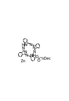 CCCCCCCCCCCC(=O)Oc1cccc2c3nc4nc(nc5[nH]c(nc6nc(nc([nH]3)c12)-c1ccccc1-6)c1ccccc51)-c1ccccc1-4.[Zn]